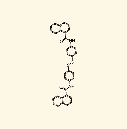 O=C(Nc1ccc(SSc2ccc(NC(=O)c3cccc4ccccc34)cc2)cc1)c1cccc2ccccc12